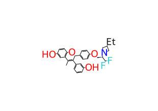 CCC1CN([C@H](COc2ccc(C3Oc4ccc(O)cc4C(C)=C3c3cccc(O)c3)cc2)C(F)F)C1